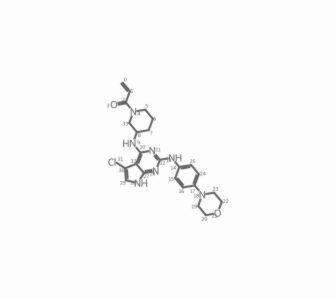 C=CC(=O)N1CCCC(Nc2nc(Nc3ccc(N4CCOCC4)cc3)nc3[nH]cc(Cl)c23)C1